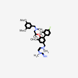 COc1cc(CN(C)CC(C)Oc2c(C=O)cc(CN(C)/C=C\N(C)C=N)cc2-c2ccc(F)cc2C)cc(OC)c1